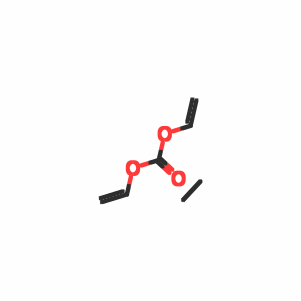 C=COC(=O)OC=C.CC